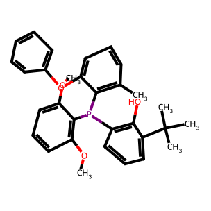 COc1cccc(OC)c1P(c1cccc(C(C)(C)C)c1O)c1c(C)cccc1Oc1ccccc1